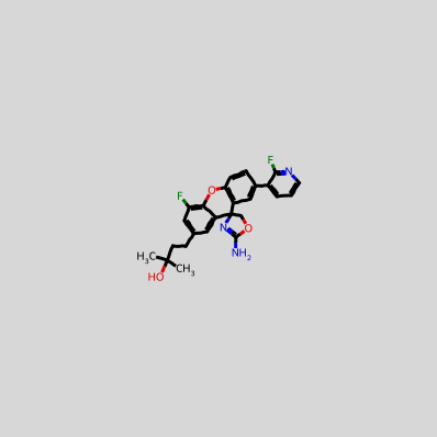 CC(C)(O)CCc1cc(F)c2c(c1)C1(COC(N)=N1)c1cc(-c3cccnc3F)ccc1O2